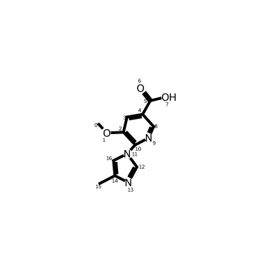 COc1cc(C(=O)O)cnc1-n1cnc(C)c1